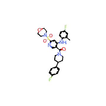 Cc1cc(F)ccc1Nc1cc(S(=O)(=O)N2CCOCC2)ncc1C(=O)N1CCC(c2ccc(F)cc2)CC1